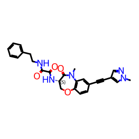 CN1C(=O)[C@@H](NC(=O)C(=O)NCCc2ccccc2)COc2ccc(C#Cc3cnn(C)c3)cc21